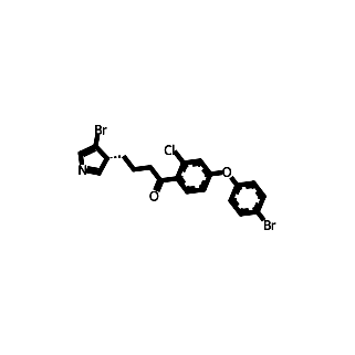 O=C(CCC[C@@H]1C=NC=C1Br)c1ccc(Oc2ccc(Br)cc2)cc1Cl